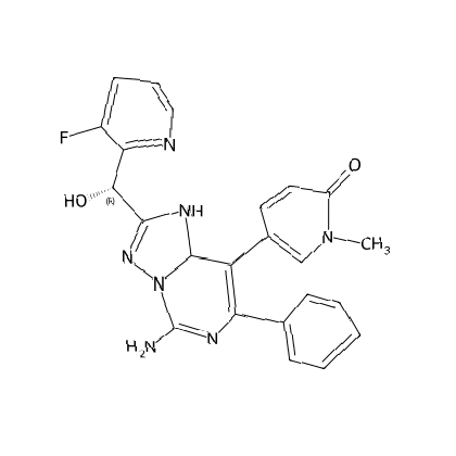 Cn1cc(C2=C(c3ccccc3)N=C(N)N3N=C([C@H](O)c4ncccc4F)NC23)ccc1=O